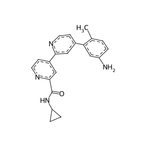 Cc1ccc(N)cc1-c1ccnc(-c2ccnc(C(=O)NC3CC3)c2)c1